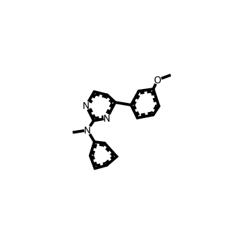 COc1cccc(-c2ccnc(N(C)c3ccccc3)n2)c1